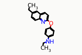 CCNc1ccc(Oc2ccc3cc(CC)ccc3n2)cc1